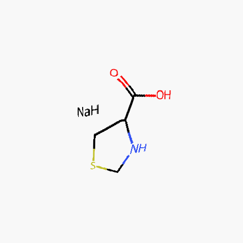 O=C(O)C1CSCN1.[NaH]